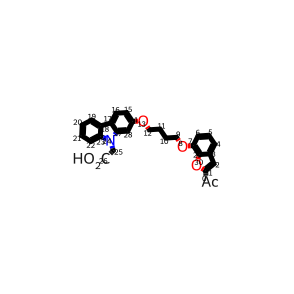 CC(=O)c1cc2cccc(OCCCCOc3ccc4c5ccccc5n(CC(=O)O)c4c3)c2o1